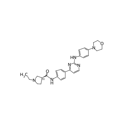 CCN1CC[C@H](C(=O)Nc2ccc(-c3ccnc(Nc4ccc(N5CCOCC5)cc4)n3)cc2)C1